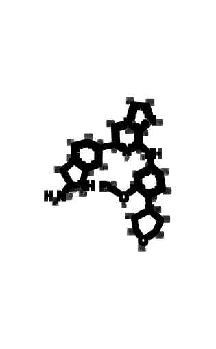 CCOc1cc(Nc2nc(-c3ccc4c(c3)NC(N)C4)cn3ccnc23)ccc1N1CCOCC1